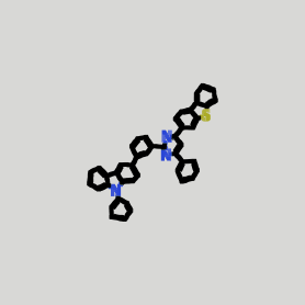 c1ccc(-c2cc(-c3ccc4c(c3)sc3ccccc34)nc(-c3cccc(-c4ccc5c(c4)c4ccccc4n5-c4ccccc4)c3)n2)cc1